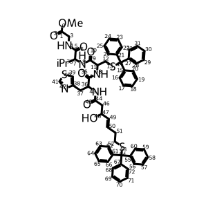 COC(=O)CNC(=O)C(NC(=O)C(CSC(c1ccccc1)(c1ccccc1)c1ccccc1)NC(=O)C(Cc1cscn1)NC(=O)CC(O)C=CCCSC(c1ccccc1)(c1ccccc1)c1ccccc1)C(C)C